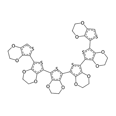 c1sc(-c2sc(-c3sc(-c4sc(-c5sc(-c6scc7c6OCCO7)c6c5OCCO6)c5c4OCCO5)c4c3OCCO4)c3c2OCCO3)c2c1OCCO2